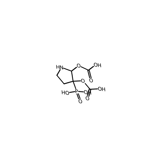 O=C(O)OC1NCCC1(OC(=O)O)P(=O)(O)O